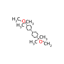 C=COC(C)(C)c1ccc(-c2ccc(C(C)(C)OC=C)cc2)cc1